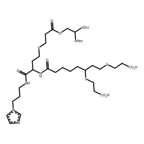 CCCCCCCCC(CCCCCC)COC(=O)CCSCCC(NC(=O)CCCCC(CCSCCC(=O)O)SCCC(=O)O)C(=O)NCCCn1ccnc1